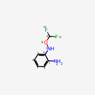 Nc1ccccc1NOC(F)F